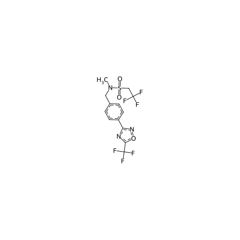 CN(Cc1ccc(-c2noc(C(F)(F)F)n2)cc1)S(=O)(=O)CC(F)(F)F